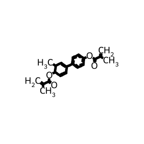 C=C(C)C(=O)Oc1ccc(C2=CC(C)C(OC(=O)C(=C)C)C=C2)cc1